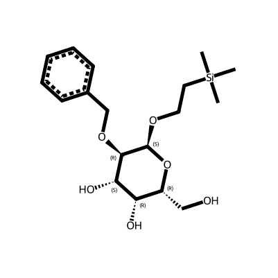 C[Si](C)(C)CCO[C@H]1O[C@H](CO)[C@H](O)[C@H](O)[C@H]1OCc1ccccc1